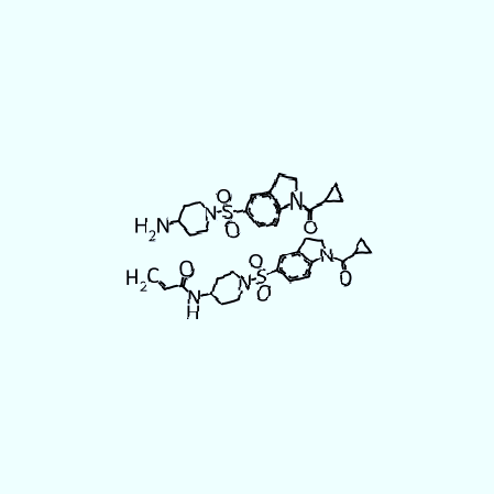 C=CC(=O)NC1CCN(S(=O)(=O)c2ccc3c(c2)CCN3C(=O)C2CC2)CC1.NC1CCN(S(=O)(=O)c2ccc3c(c2)CCN3C(=O)C2CC2)CC1